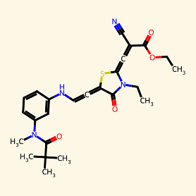 CCOC(=O)C(=C=c1sc(=C=CNc2cccc(N(C)C(=O)C(C)(C)C)c2)c(=O)n1CC)C#N